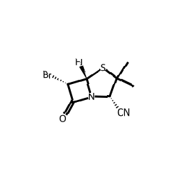 CC1(C)S[C@H]2[C@@H](Br)C(=O)N2[C@H]1C#N